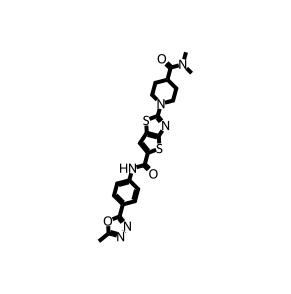 Cc1nnc(-c2ccc(NC(=O)c3cc4sc(N5CCC(C(=O)N(C)C)CC5)nc4s3)cc2)o1